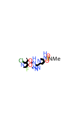 CNS(=O)(=O)Nc1ccc(-c2nnn(C)c2NC(=O)O[C@H](C)c2cc(F)cnc2Cl)nc1